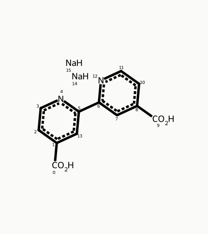 O=C(O)c1ccnc(-c2cc(C(=O)O)ccn2)c1.[NaH].[NaH]